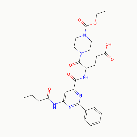 CCCC(=O)Nc1cc(C(=O)NC(CCC(=O)O)C(=O)N2CCN(C(=O)OCC)CC2)nc(-c2ccccc2)n1